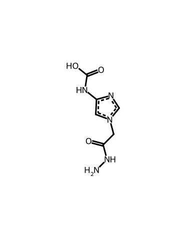 NNC(=O)Cn1cnc(NC(=O)O)c1